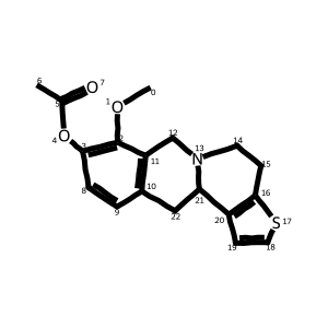 COc1c(OC(C)=O)ccc2c1CN1CCc3sccc3C1C2